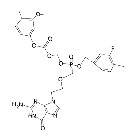 COc1cc(OC(=O)OCOP(=O)(COCCn2cnc3c(=O)[nH]c(N)nc32)OCc2ccc(C)c(F)c2)ccc1C